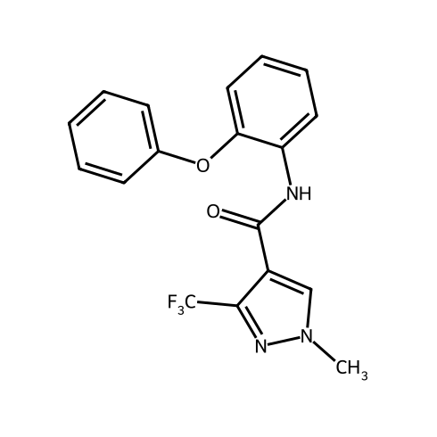 Cn1cc(C(=O)Nc2ccccc2Oc2ccccc2)c(C(F)(F)F)n1